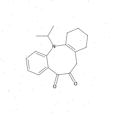 CC(C)N1C2=C(CCCC2)CC(=O)C(=O)c2ccccc21